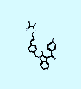 Cc1ccc(C(=O)c2c(C)n(Cc3ccc(C=CCO[C@H](C)C(=O)O)cc3)c3ccccc23)cc1